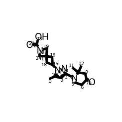 Cc1cc(N2CCC(=O)CC2(C)C)nn1C1CC2(C1)CN(C(=O)O)C2